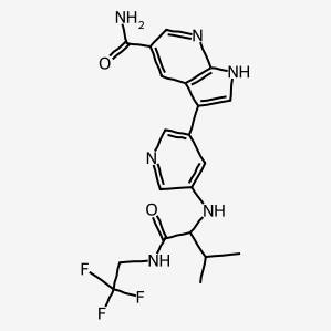 CC(C)C(Nc1cncc(-c2c[nH]c3ncc(C(N)=O)cc23)c1)C(=O)NCC(F)(F)F